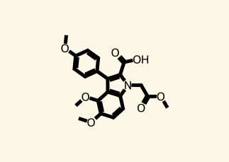 COC(=O)Cn1c(C(=O)O)c(-c2ccc(OC)cc2)c2c(OC)c(OC)ccc21